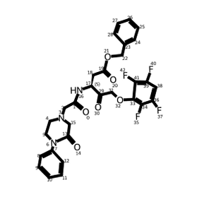 O=C(CN1CCN(c2ccccc2)C(=O)C1)N[C@@H](CC(=O)OCc1ccccc1)C(=O)COc1c(F)c(F)cc(F)c1F